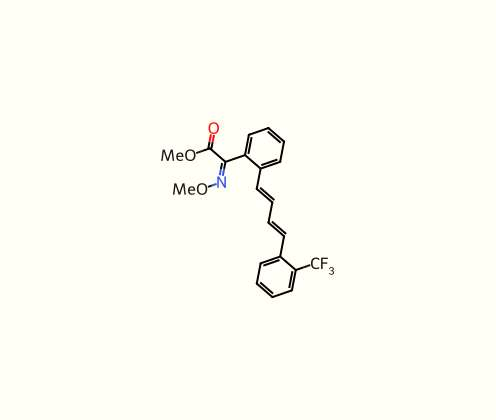 CON=C(C(=O)OC)c1ccccc1C=CC=Cc1ccccc1C(F)(F)F